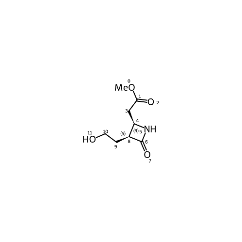 COC(=O)C[C@H]1NC(=O)[C@H]1CCO